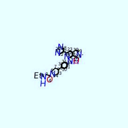 CCNCC(=O)N1CCC(c2ccc(Nc3nc(-c4cncnc4)cc4c3C(=O)[N]C=C4)cc2)CC1